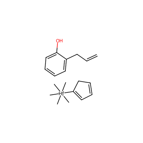 C=CCc1ccccc1O.[CH3][Hf]([CH3])([CH3])([CH3])([CH3])[C]1=CC=CC1